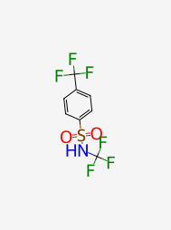 O=S(=O)(NC(F)(F)F)c1ccc(C(F)(F)F)cc1